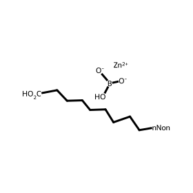 CCCCCCCCCCCCCCCCCC(=O)O.[O-]B([O-])O.[Zn+2]